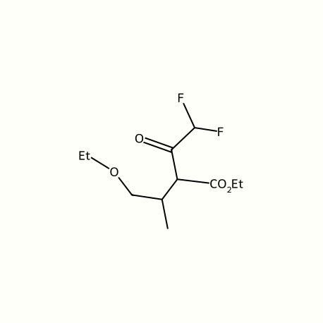 CCOCC(C)C(C(=O)OCC)C(=O)C(F)F